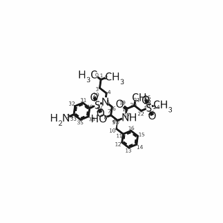 CC(C)CCN(CC(O)[C@H](Cc1ccccc1)NC(=O)C(C)CS(C)(=O)=O)S(=O)(=O)c1ccc(N)cc1